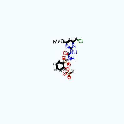 COc1cc(CCl)nc(NC(=O)NS(=O)(=O)c2ccccc2OS(C)(=O)=O)n1